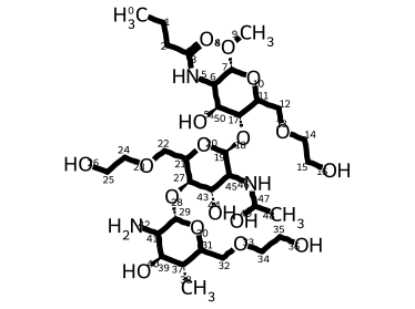 CCCC(=O)NC1[C@H](OC)OC(COCCO)[C@H](O[C@@H]2OC(COCCO)[C@H](O[C@@H]3OC(COCCO)[C@H](C)[C@@H](O)C3N)[C@@H](O)C2NC(C)O)[C@H]1O